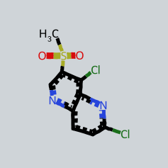 CS(=O)(=O)c1cnc2ccc(Cl)nc2c1Cl